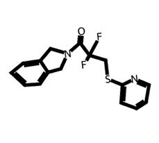 O=C(N1Cc2ccccc2C1)C(F)(F)CSc1ccccn1